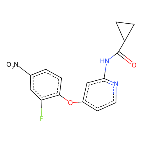 O=C(Nc1cc(Oc2ccc([N+](=O)[O-])cc2F)ccn1)C1CC1